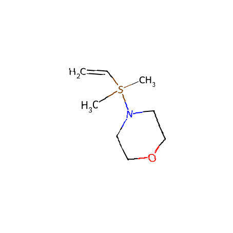 C=CS(C)(C)N1CCOCC1